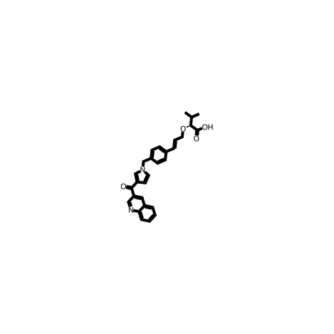 CC(C)[C@@H](OC/C=C/c1ccc(Cn2ccc(C(=O)c3cnc4ccccc4c3)c2)cc1)C(=O)O